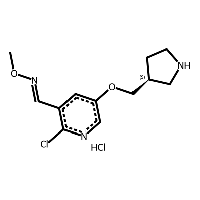 CON=Cc1cc(OC[C@H]2CCNC2)cnc1Cl.Cl